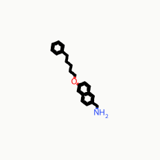 NCc1ccc2cc(OCCCCCc3ccccc3)ccc2c1